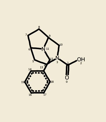 O=C(O)N1CCC2CCC(C1)N2Cc1ccccc1